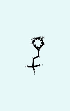 FC(F)(F)CCc1c[nH]nn1